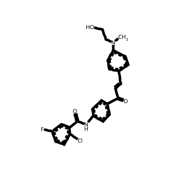 CN(CCO)c1ccc(/C=C/C(=O)c2ccc(NC(=O)c3cc(F)ccc3Cl)cc2)cc1